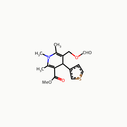 COC(=O)C1=C(C)N(C)C(C)=C(COC=O)C1c1ccsc1